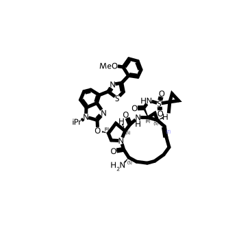 COc1ccccc1-c1csc(-c2cccc3c2nc(O[C@@H]2C[C@H]4C(=O)N[C@]5(C(=O)NS(=O)(=O)C6(C)CC6)C[C@H]5/C=C\CCCCC[C@H](N)C(=O)N4C2)n3C(C)C)n1